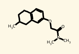 CC1CCc2ccc(OCC(=O)N(C)C)cc2C1